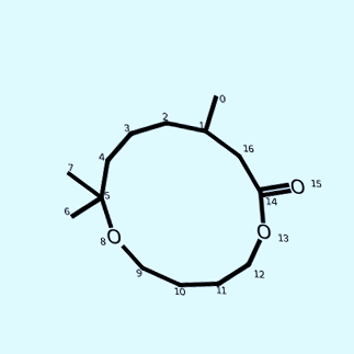 CC1CCCC(C)(C)OCCCCOC(=O)C1